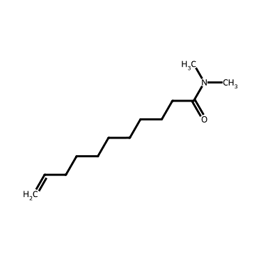 C=CCCCCCCCCC(=O)N(C)C